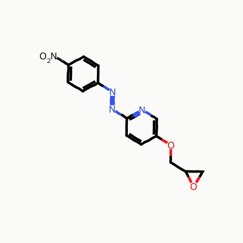 O=[N+]([O-])c1ccc(/N=N/c2ccc(OCC3CO3)cn2)cc1